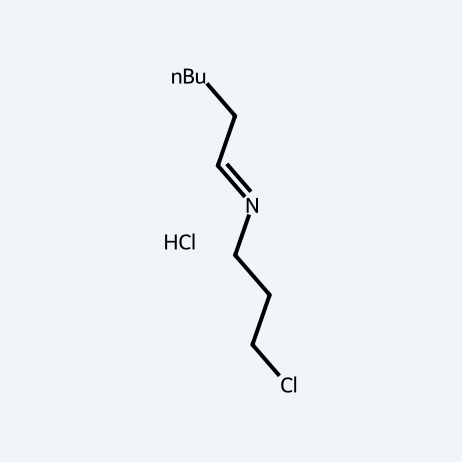 CCCCCC=NCCCCl.Cl